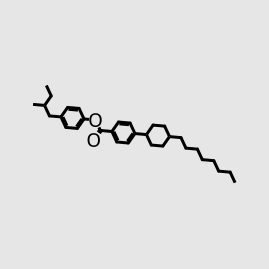 CCCCCCCCC1CCC(c2ccc(C(=O)Oc3ccc(CC(C)CC)cc3)cc2)CC1